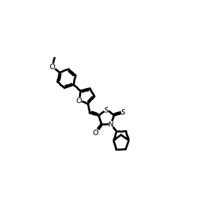 COc1ccc(-c2ccc(C=C3SC(=S)N(C4CC5CCC4C5)C3=O)o2)cc1